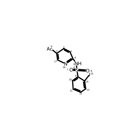 CC(=O)c1ccc(NS(=O)(=O)c2ccccc2I)nc1